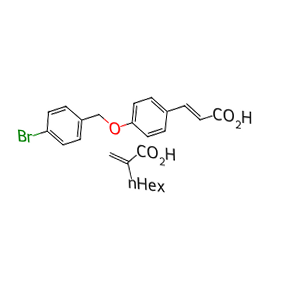 C=C(CCCCCC)C(=O)O.O=C(O)C=Cc1ccc(OCc2ccc(Br)cc2)cc1